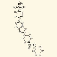 CCCS(=O)(=O)N1CC=C(c2ccc3c(c2)CC(C2CCN(C(=O)OC4CCCCC4)CC2)O3)CC1